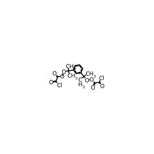 CC(C)(OOC(=O)C(=O)Cl)c1cccc(C(C)(C)OOC(=O)C(=O)Cl)c1